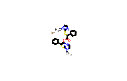 Cn1ccnc1SC(C(=O)Oc1c(-c2ccccc2)sc2n(C)cc[n+]12)c1ccccc1.[Br-]